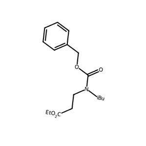 CCOC(=O)CCN(C(=O)OCc1ccccc1)C(C)CC